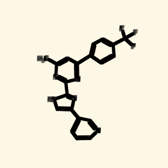 Cc1cc(-c2ccc(C(F)(F)F)cc2)nc(-c2nc(-c3cccnc3)c[nH]2)n1